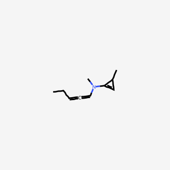 CCC=C=CN(C)C1=CC1C